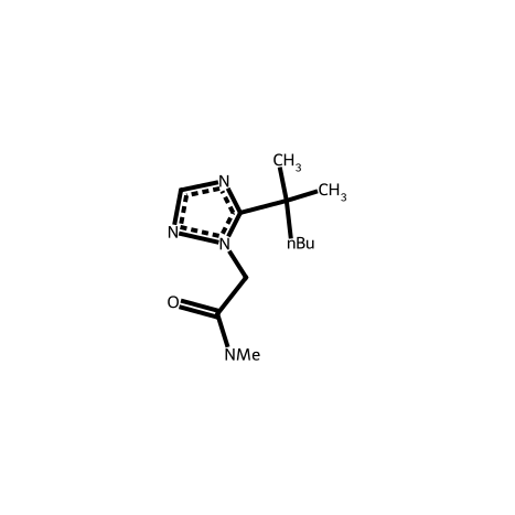 CCCCC(C)(C)c1ncnn1CC(=O)NC